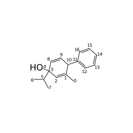 CC1=CC(O)(C(C)C)C=CC1c1ccccc1